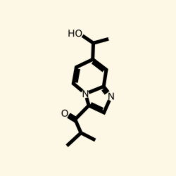 CC(C)C(=O)c1cnc2cc(C(C)O)ccn12